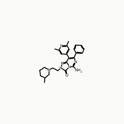 Cc1cc(-c2c(-c3ccccc3)nc(N)n3c(=O)n(CCN4CCCC(C)C4)nc23)cc(C)n1